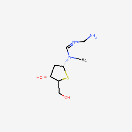 CC(=O)N(/C=N\CN)[C@H]1C[C@@H](O)C(CO)S1